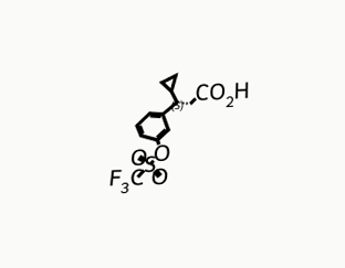 O=C(O)C[C@H](c1cccc(OS(=O)(=O)C(F)(F)F)c1)C1CC1